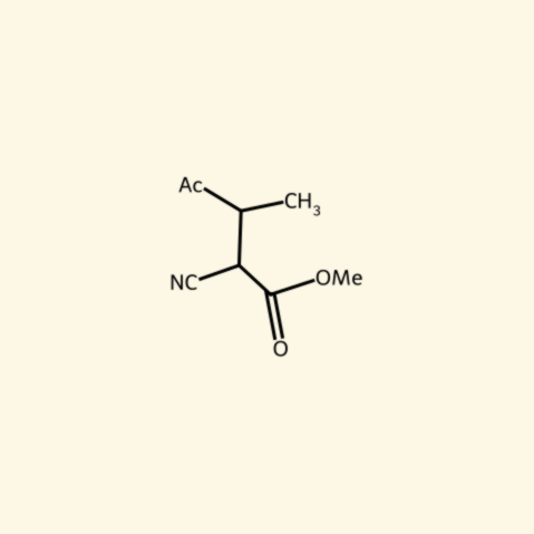 COC(=O)C(C#N)C(C)C(C)=O